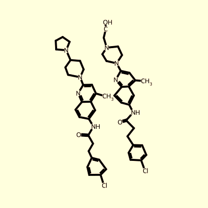 Cc1cc(N2CCC(N3CCCC3)CC2)nc2ccc(NC(=O)CCc3ccc(Cl)cc3)cc12.Cc1cc(N2CCN(CCO)CC2)nc2ccc(NC(=O)CCc3ccc(Cl)cc3)cc12